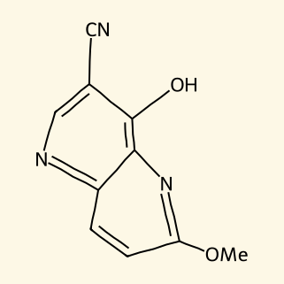 COc1ccc2ncc(C#N)c(O)c2n1